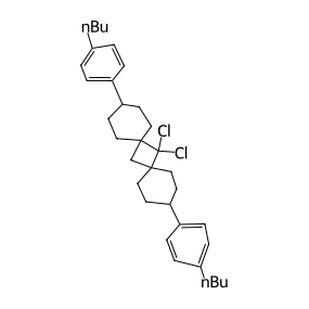 CCCCc1ccc(C2CCC3(CC2)CC2(CCC(c4ccc(CCCC)cc4)CC2)C3(Cl)Cl)cc1